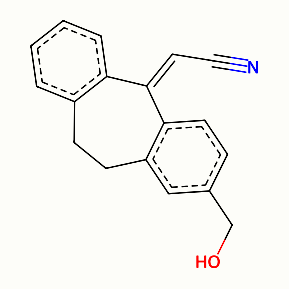 N#CC=C1c2ccccc2CCc2cc(CO)ccc21